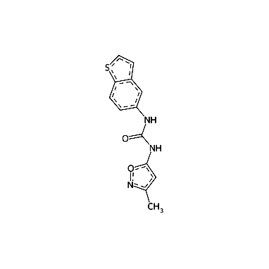 Cc1cc(NC(=O)Nc2ccc3sccc3c2)on1